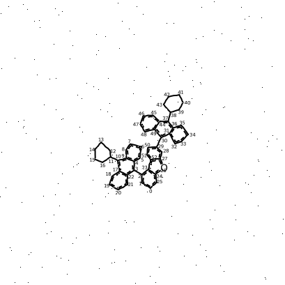 c1cc(-c2c3ccccc3c(C3CCCCC3)c3ccccc23)c2c(c1)oc1cc(-c3c4ccccc4c(C4CCCCC4)c4ccccc34)ccc12